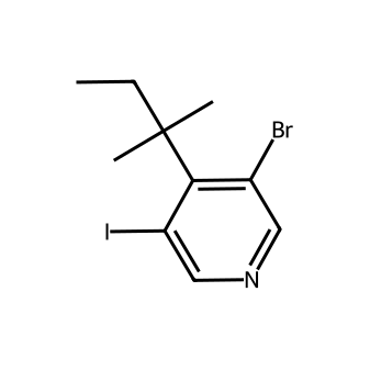 CCC(C)(C)c1c(Br)cncc1I